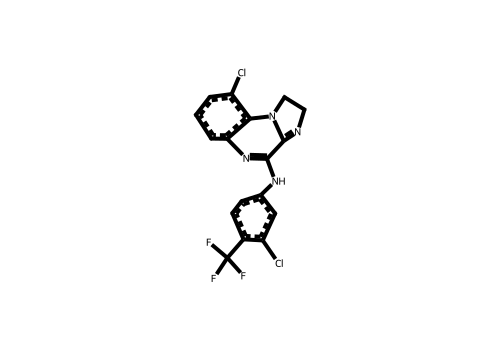 FC(F)(F)c1ccc(NC2=Nc3cccc(Cl)c3N3CCN=C23)cc1Cl